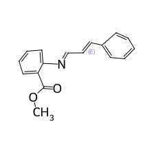 COC(=O)c1ccccc1N=C/C=C/c1ccccc1